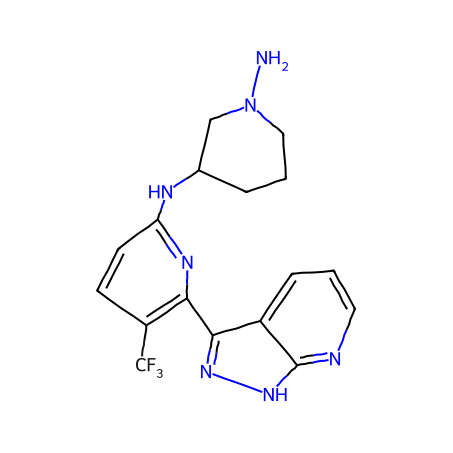 NN1CCCC(Nc2ccc(C(F)(F)F)c(-c3n[nH]c4ncccc34)n2)C1